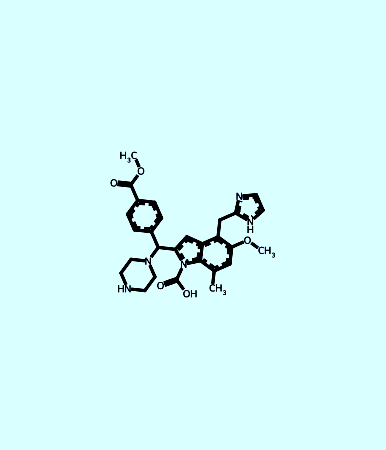 COC(=O)c1ccc(C(c2cc3c(Cc4ncc[nH]4)c(OC)cc(C)c3n2C(=O)O)N2CCNCC2)cc1